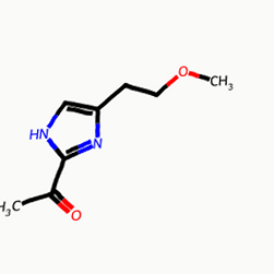 COCCc1c[nH]c(C(C)=O)n1